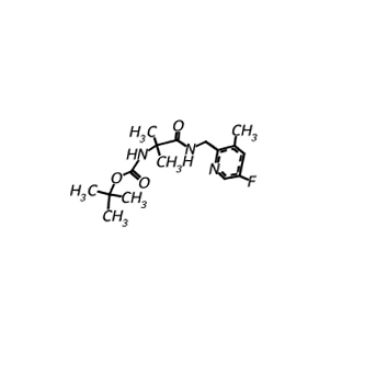 Cc1cc(F)cnc1CNC(=O)C(C)(C)NC(=O)OC(C)(C)C